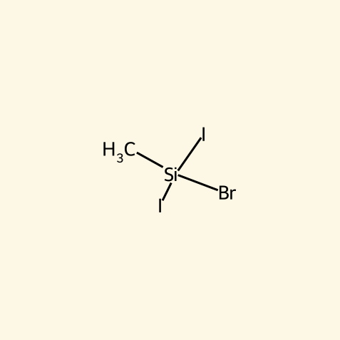 C[Si](Br)(I)I